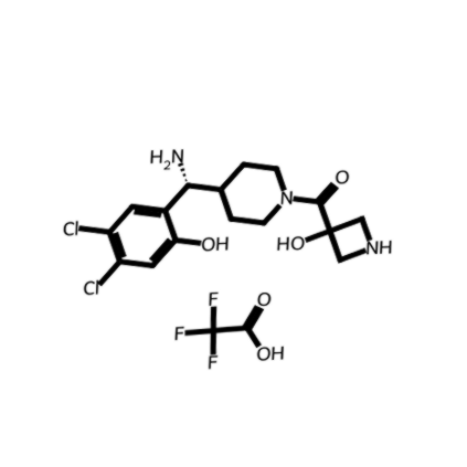 N[C@@H](c1cc(Cl)c(Cl)cc1O)C1CCN(C(=O)C2(O)CNC2)CC1.O=C(O)C(F)(F)F